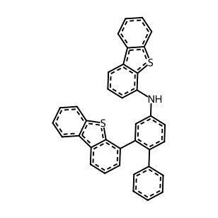 c1ccc(-c2ccc(Nc3cccc4c3sc3ccccc34)cc2-c2cccc3c2sc2ccccc23)cc1